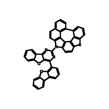 c1cc2c3c(c1)ccc1c3c3c4c(ccc3n1-c1nc(-c3cccc5c3oc3ccccc35)c3oc5ccccc5c3n1)sc1cccc-2c14